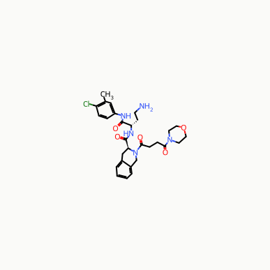 Cc1cc(NC(=O)[C@H](CCN)NC(=O)[C@@H]2Cc3ccccc3CN2C(=O)CCC(=O)N2CCOCC2)ccc1Cl